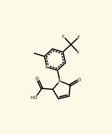 Cc1cc(C(F)(F)F)cc(N2C(=O)C=CC2C(=O)O)n1